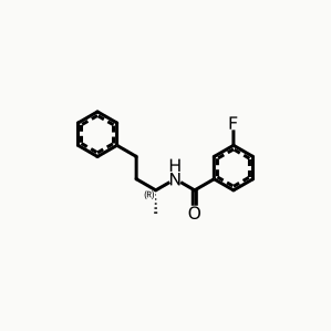 C[C@H](CCc1ccccc1)NC(=O)c1cccc(F)c1